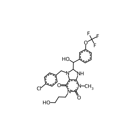 Cn1c2c(c(=O)n(CCCO)c1=O)N(Cc1ccc(Cl)cc1)C(C(O)c1cccc(OC(F)(F)F)c1)N2